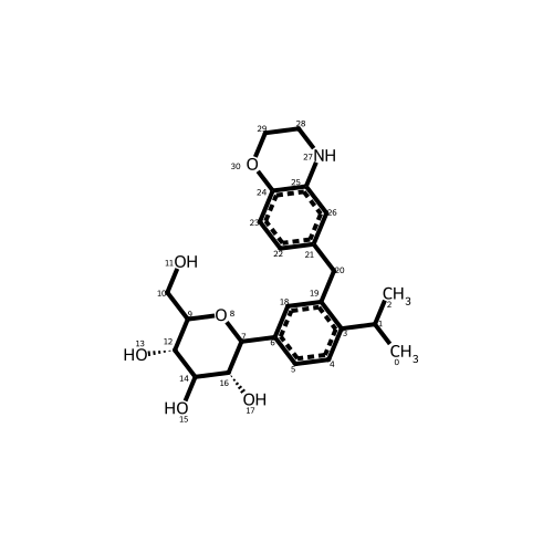 CC(C)c1ccc(C2OC(CO)[C@@H](O)C(O)[C@H]2O)cc1Cc1ccc2c(c1)NCCO2